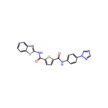 O=C(Nc1ccc(-n2cncn2)cc1)c1ccc(C(=O)Nc2nc3ccccc3s2)s1